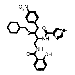 O=C(NC(CNC(=O)c1ccccc1O)C(Cc1ccc([N+](=O)[O-])cc1)SCC1CCCCC1)c1c[nH]cn1